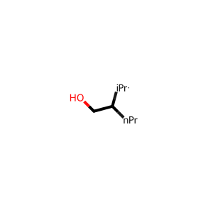 CCCC(CO)[C](C)C